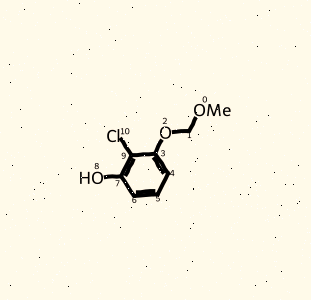 COCOc1cccc(O)c1Cl